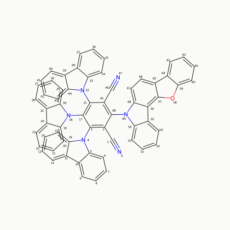 N#Cc1c(-n2c3ccccc3c3ccccc32)c(-n2c3ccccc3c3ccccc32)c(-n2c3ccccc3c3ccccc32)c(C#N)c1-n1c2ccccc2c2c3oc4ccccc4c3ccc21